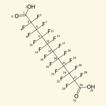 O=C(O)C(F)(F)C(F)(F)C(F)(F)C(F)(F)C(F)(F)C(F)(F)C(F)(F)C(F)(F)C(F)(F)C(=O)O